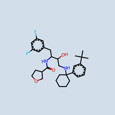 CC(C)(C)c1cccc(C2(NCC(O)C(Cc3cc(F)cc(F)c3)NC(=O)C3CCOC3)CCCCC2)c1